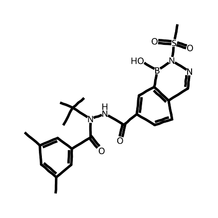 Cc1cc(C)cc(C(=O)N(NC(=O)c2ccc3c(c2)B(O)N(S(C)(=O)=O)N=C3)C(C)(C)C)c1